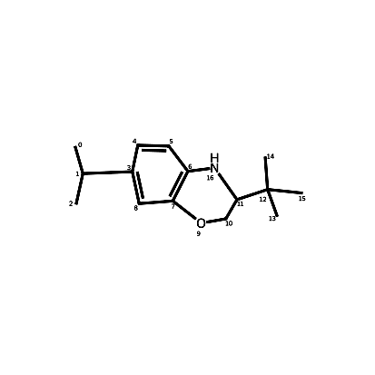 CC(C)c1ccc2c(c1)OCC(C(C)(C)C)N2